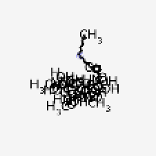 CCCCCC/C=C\CCCOc1cccc(C(=O)N[C@@H]2C(OC3C(CO)OC(OC4C(CO)OC(OC5C(COS)OC(O)[C@@H](NC(C)=O)C5O)[C@@H](NC(C)=O)C4O)[C@@H](NC(C)=O)C3O)OC(CO)C(O)C2O)c1